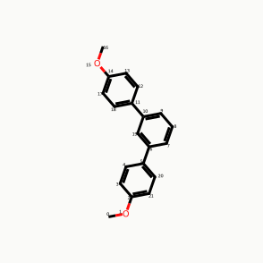 COc1ccc(-c2cccc(-c3ccc(OC)cc3)c2)cc1